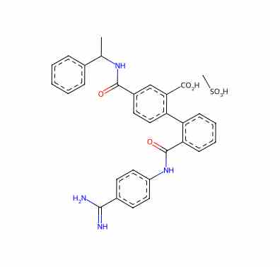 CC(NC(=O)c1ccc(-c2ccccc2C(=O)Nc2ccc(C(=N)N)cc2)c(C(=O)O)c1)c1ccccc1.CS(=O)(=O)O